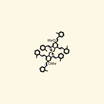 COC1(/C=C/c2ccccc2C)C=C(/C=C/c2ccccc2C)C(CS(=O)(=O)CC2C(/C=C/c3ccccc3C)=CC(/C=C/c3ccccc3C)(OC)C=C2/C=C/c2ccccc2C)C(/C=C/c2ccccc2C)=C1